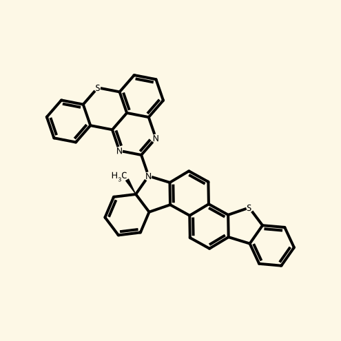 C[C@]12C=CC=CC1c1c(ccc3c1ccc1c4ccccc4sc31)N2c1nc2c3c(cccc3n1)Sc1ccccc1-2